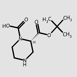 CC(C)(C)OC(=O)[C@@H]1CNCCN1C(=O)O